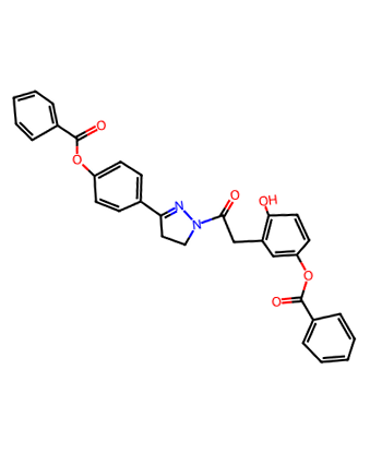 O=C(Oc1ccc(C2=NN(C(=O)Cc3cc(OC(=O)c4ccccc4)ccc3O)CC2)cc1)c1ccccc1